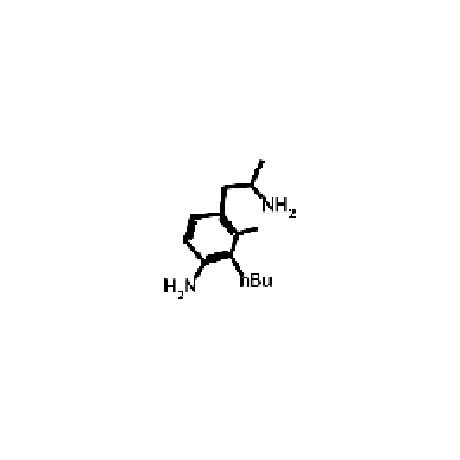 CCCCc1c(N)ccc(CC(C)N)c1C